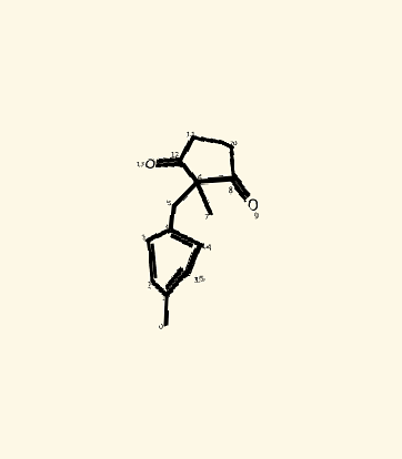 Cc1ccc(CC2(C)C(=O)CCC2=O)cc1